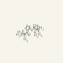 CN(Cc1cccn1C(=O)C(C)(C)C)C(C)(C)C